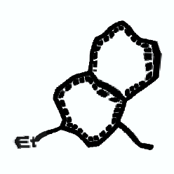 [CH2]Cc1cc(C)c2ccccc2c1